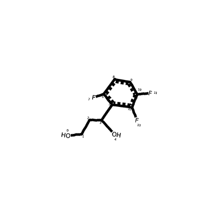 OCCC(O)c1c(F)ccc(F)c1F